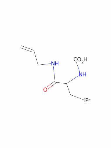 C=CCNC(=O)C(CC(C)C)NC(=O)O